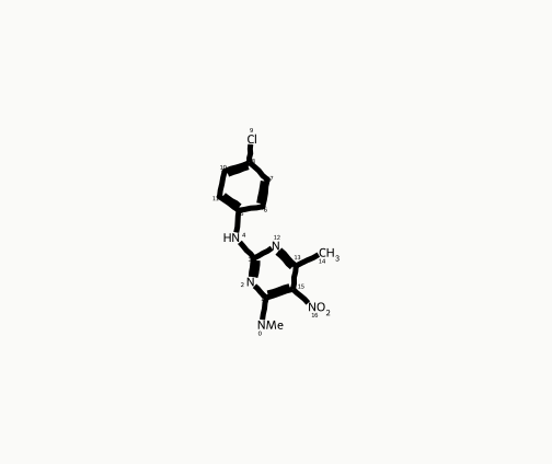 CNc1nc(Nc2ccc(Cl)cc2)nc(C)c1[N+](=O)[O-]